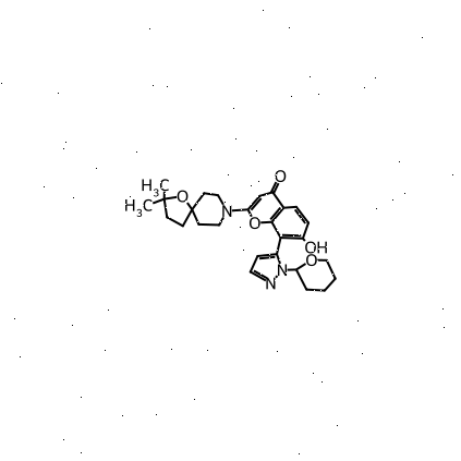 CC1(C)CCC2(CCN(c3cc(=O)c4ccc(O)c(-c5ccnn5C5CCCCO5)c4o3)CC2)O1